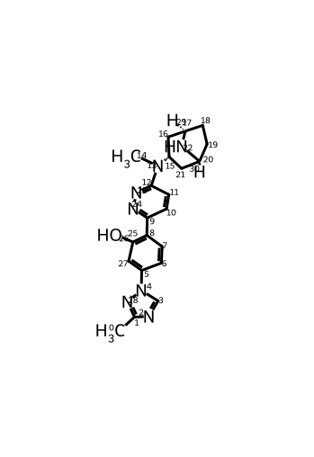 Cc1ncn(-c2ccc(-c3ccc(N(C)[C@@H]4C[C@H]5CC[C@@H](C4)N5)nn3)c(O)c2)n1